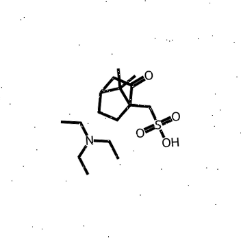 CC1(C)C2CCC1(CS(=O)(=O)O)C(=O)C2.CCN(CC)CC